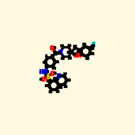 O=C(c1ccc(NS(=O)(=O)c2cccc3cccnc23)cc1)N1CCC(O)(Cc2cccc(F)c2)CC1